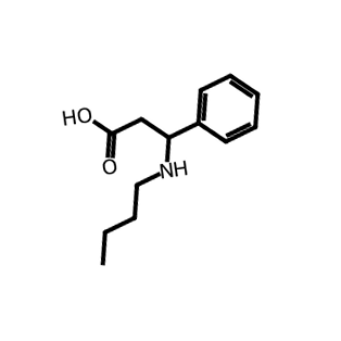 CCCCNC(CC(=O)O)c1ccccc1